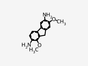 COc1cc2c(cc1N)-c1ccc(N)c(OC)c1C2